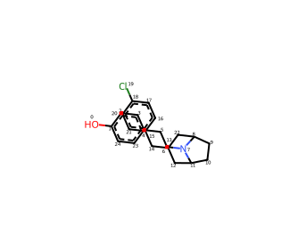 Oc1ccc(CCN2C3CCC2CC(Cc2ccc(Cl)cc2)C3)cc1